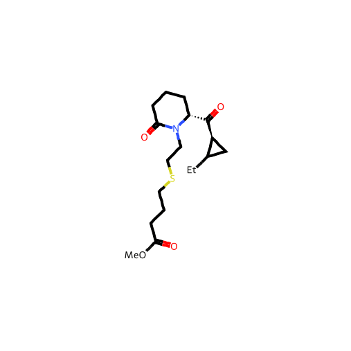 CCC1C[C@@H]1C(=O)[C@H]1CCCC(=O)N1CCSCCCC(=O)OC